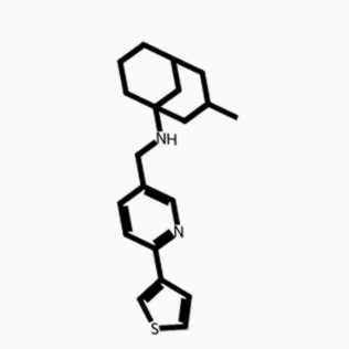 CC1CC2CCCC(NCc3ccc(-c4ccsc4)nc3)(C1)C2